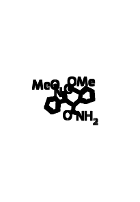 COC(=O)c1ccccc1C(C(N)=O)c1cn(OC)c2ccccc12